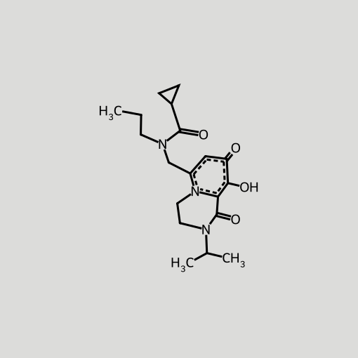 CCCN(Cc1cc(=O)c(O)c2n1CCN(C(C)C)C2=O)C(=O)C1CC1